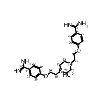 Cl.N=C(N)c1ccc(OCCN2CCN(CCOc3ccc(C(=N)N)cc3)CC2)cc1